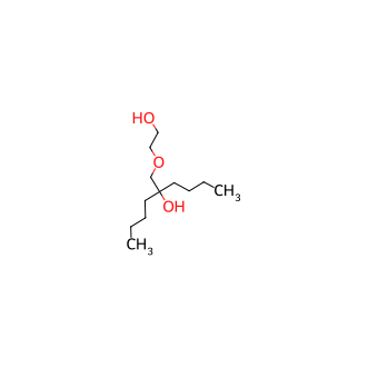 CCCCC(O)(CCCC)COCCO